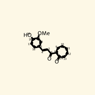 COc1cc(C=CC(=O)c2cccccc2=O)ccc1O